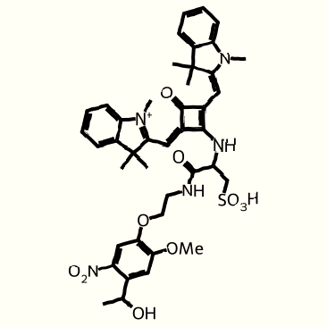 COc1cc(C(C)O)c([N+](=O)[O-])cc1OCCNC(=O)C(CS(=O)(=O)O)NC1=C(/C=C2/N(C)c3ccccc3C2(C)C)C(=O)/C1=C\C1=[N+](C)c2ccccc2C1(C)C